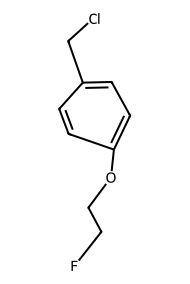 FCCOc1ccc(CCl)cc1